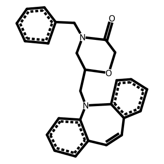 O=C1COC(CN2c3ccccc3C=Cc3ccccc32)CN1Cc1ccccc1